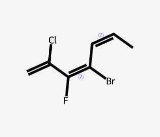 C=C(Cl)/C(F)=C(Br)\C=C/C